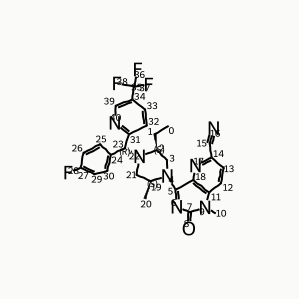 CC[C@H]1CN(c2nc(=O)n(C)c3ccc(C#N)nc23)[C@@H](C)CN1[C@H](c1ccc(F)cc1)c1ccc(C(F)(F)F)cn1